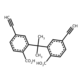 C#Cc1ccc(C(=O)O)c(C(C)(C)c2cc(C#C)ccc2C(=O)O)c1